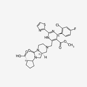 COC(=O)C1=C(CN2CCN3C(=O)N(C4CCC[C@@H]4C(=O)O)C[C@@H]3C2)NC(c2nccs2)=N[C@H]1c1ccc(F)cc1Cl